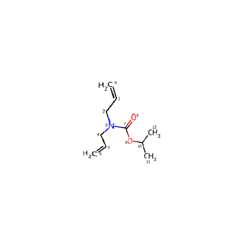 C=CCN(CC=C)C(=O)OC(C)C